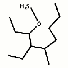 CCCCC(C)C(CC)C(CC)O[SiH3]